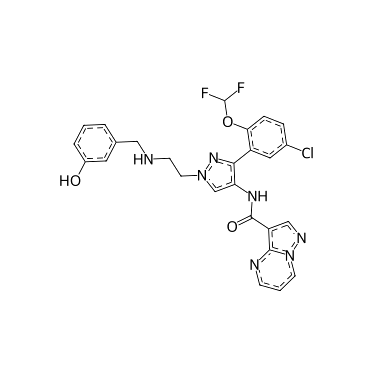 O=C(Nc1cn(CCNCc2cccc(O)c2)nc1-c1cc(Cl)ccc1OC(F)F)c1cnn2cccnc12